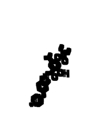 CCN(CC)C(=O)Oc1cc(O)c(C(=O)CN2Cc3ccc(CN4CCN(C)CC4)cc3C2)cc1C(C)C